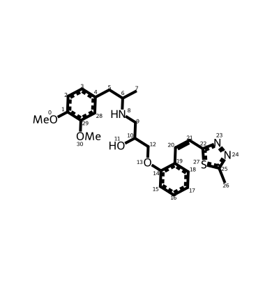 COc1ccc(CC(C)NCC(O)COc2ccccc2/C=C\c2nnc(C)s2)cc1OC